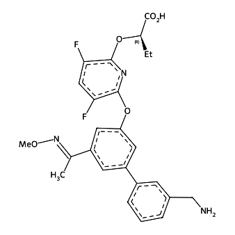 CC[C@@H](Oc1nc(Oc2cc(C(C)=NOC)cc(-c3cccc(CN)c3)c2)c(F)cc1F)C(=O)O